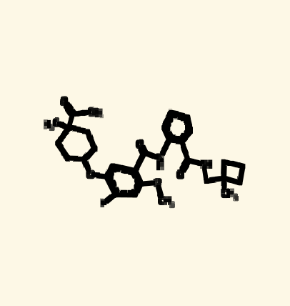 COc1cc(F)c(OC2CCC(C)(C(=O)O)CC2)cc1C(=O)Nc1ccccc1C(=O)NCC1(C)CCC1